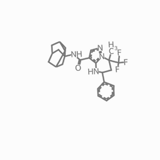 CC1(C(F)(F)F)CC(c2ccccc2)Nc2c(C(=O)NC34CC5CC(CC(C5)C3)C4)cnn21